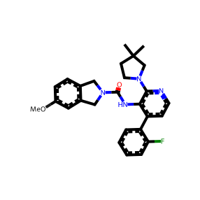 COc1ccc2c(c1)CN(C(=O)Nc1c(-c3ccccc3F)ccnc1N1CCC(C)(C)C1)C2